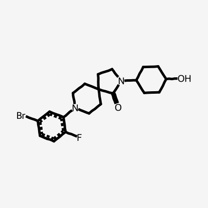 O=C1N(C2CCC(O)CC2)CCC12CCN(c1cc(Br)ccc1F)CC2